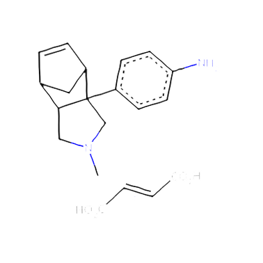 CN1CC2C3C=CC(C3)C2(c2ccc(N)cc2)C1.O=C(O)/C=C/C(=O)O